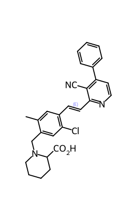 Cc1cc(/C=C/c2nccc(-c3ccccc3)c2C#N)c(Cl)cc1CN1CCCCC1C(=O)O